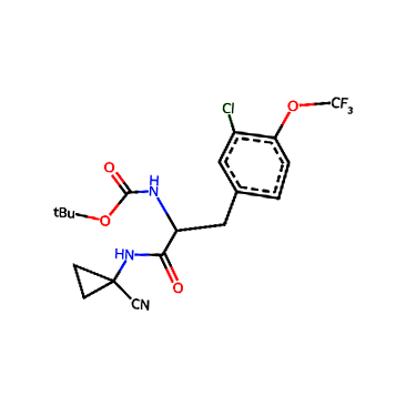 CC(C)(C)OC(=O)NC(Cc1ccc(OC(F)(F)F)c(Cl)c1)C(=O)NC1(C#N)CC1